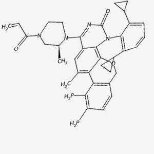 C=CC(=O)N1CCN(c2nc(=O)n(-c3c(C4CC4)cccc3C3CC3)c3c4c(c(C)cc23)-c2c(ccc(P)c2P)CO4)[C@@H](C)C1